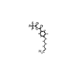 CCCCCCc1ccc(C(=O)OC(=O)C(F)(F)F)cc1